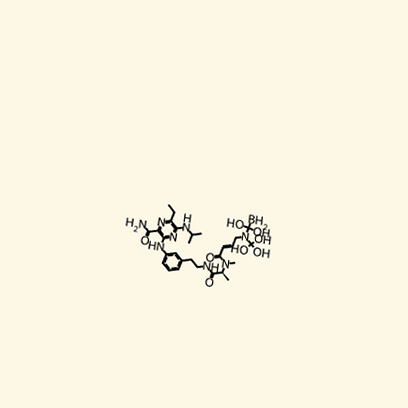 BC(O)(O)N(C/C=C/C(=O)N(C)[C@@H](C)C(=O)NCCc1cccc(Nc2nc(NC(C)C)c(CC)nc2C(N)=O)c1)C(O)(O)O